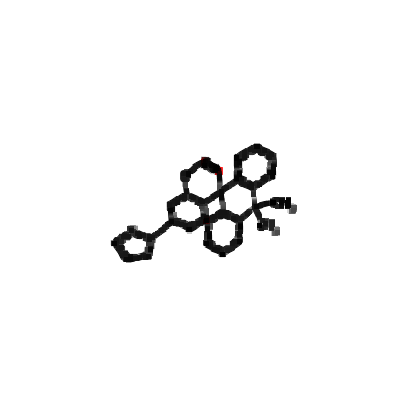 CC1(C)c2ccccc2C2(c3ccccc3Oc3cc(-c4cccs4)ccc32)c2ccccc21